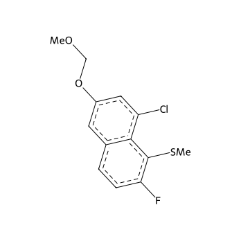 COCOc1cc(Cl)c2c(SC)c(F)ccc2c1